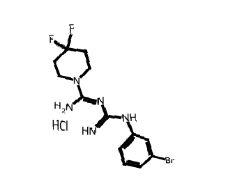 Cl.N=C(N=C(N)N1CCC(F)(F)CC1)Nc1cccc(Br)c1